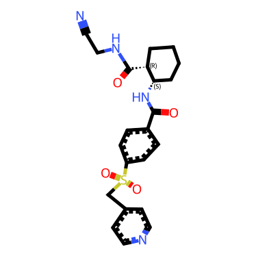 N#CCNC(=O)[C@@H]1CCCC[C@@H]1NC(=O)c1ccc(S(=O)(=O)Cc2ccncc2)cc1